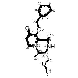 CCOC[C@H]1NC(=O)c2c(OCc3ccccc3)c(=O)ccn2[C@@H]1C